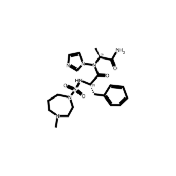 C[C@@H](C(N)=O)N(C(=O)[C@H](Cc1ccccc1)NS(=O)(=O)N1CCCN(C)CC1)n1ccnc1